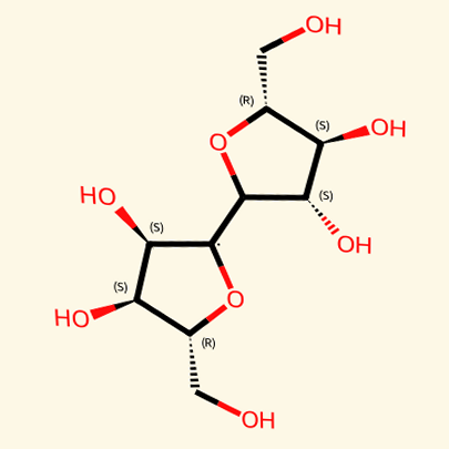 OC[C@H]1O[C](C2O[C@H](CO)[C@@H](O)[C@@H]2O)[C@H](O)[C@@H]1O